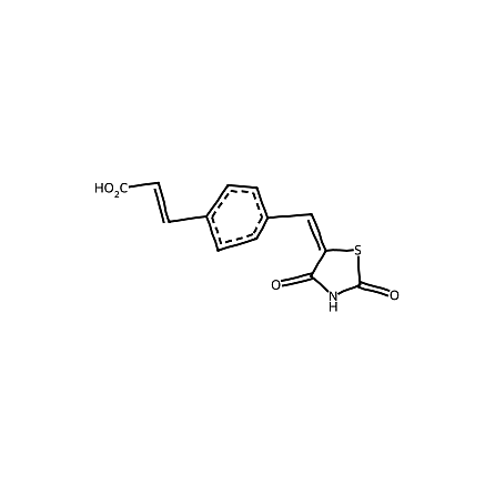 O=C(O)C=Cc1ccc(C=C2SC(=O)NC2=O)cc1